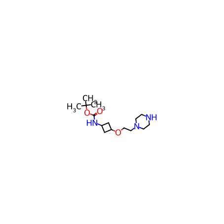 CC(C)(C)OC(=O)NC1CC(OCCN2CCNCC2)C1